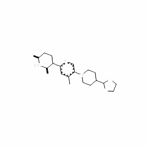 Cc1cc(C2CCC(=O)NC2=O)ncc1N1CCC(C2OCCO2)CC1